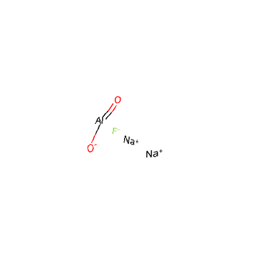 [F-].[Na+].[Na+].[O]=[Al][O-]